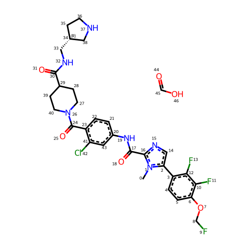 Cn1c(-c2ccc(OCF)c(F)c2F)cnc1C(=O)Nc1ccc(C(=O)N2CCC(C(=O)NC[C@@H]3CCNC3)CC2)c(Cl)c1.O=CO